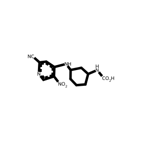 N#Cc1cc(NC2CCCC(NC(=O)O)C2)c([N+](=O)[O-])cn1